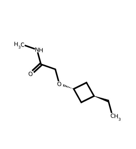 CC[C@H]1C[C@H](OCC(=O)NC)C1